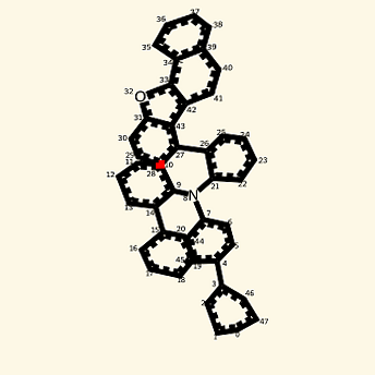 c1ccc(-c2ccc(N(c3ccccc3-c3ccccc3)c3ccccc3-c3cccc4oc5c6ccccc6ccc5c34)cc2)cc1